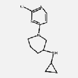 Clc1nccc(N2CCCC(NC3CC3)C2)n1